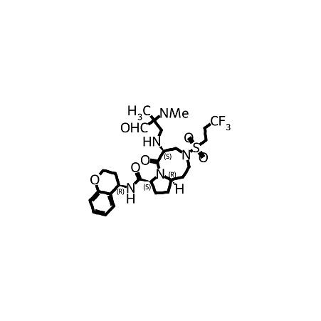 CNC(C)(C=O)CN[C@H]1CN(S(=O)(=O)CCC(F)(F)F)CC[C@H]2CC[C@@H](C(=O)N[C@@H]3CCOc4ccccc43)N2C1=O